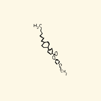 CCCCCCCC1CCC(c2ccc(C(=O)Oc3ccc(OCCCC)cc3)cc2)CC1